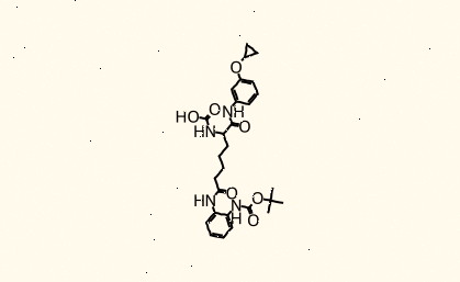 CC(C)(C)OC(=O)Nc1ccccc1NC(=O)CCCCC(NC(=O)O)C(=O)Nc1cccc(OC2CC2)c1